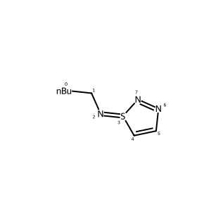 CCCCCN=S1C=CN=N1